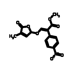 COC(=O)/C(=C/OC1C=C(C)C(=O)O1)c1ccc([N+](=O)[O-])cc1